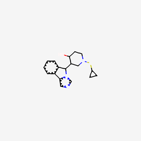 OC1CCN(SC2CC2)CC1C1c2ccccc2-c2cncn21